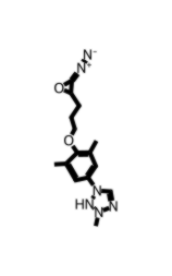 Cc1cc(N2C=NN(C)N2)cc(C)c1OCCCC1OC1=[N+]=[N-]